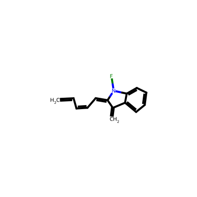 C=C/C=C\C=c1/c(=C)c2ccccc2n1F